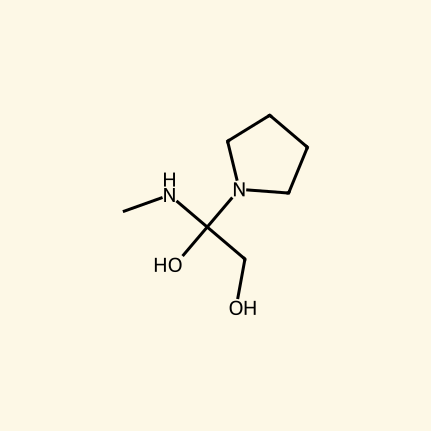 CNC(O)(CO)N1CCCC1